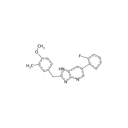 COc1ccc(Cc2nc3ncc(-c4ccccc4F)cc3[nH]2)cc1C